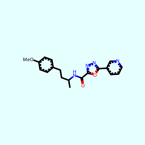 COc1ccc(CCC(C)NC(=O)c2nnc(-c3cccnc3)o2)cc1